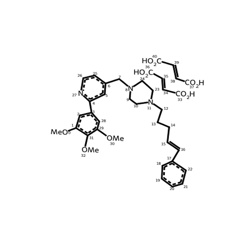 COc1cc(-c2cc(CN3CCN(CCCC=Cc4ccccc4)CC3)ccn2)cc(OC)c1OC.O=C(O)C=CC(=O)O.O=C(O)C=CC(=O)O